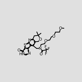 COCCOCCOCCN(Cc1c2c(nc3sc4c(=O)[nH]cnc4c13)CC(C)(C)OC2)C(=O)C(F)(F)F